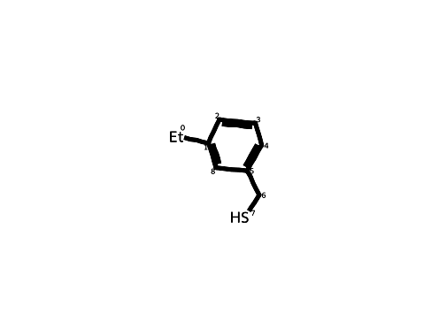 CCc1cccc(CS)c1